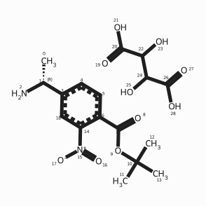 C[C@@H](N)c1ccc(C(=O)OC(C)(C)C)c([N+](=O)[O-])c1.O=C(O)C(O)C(O)C(=O)O